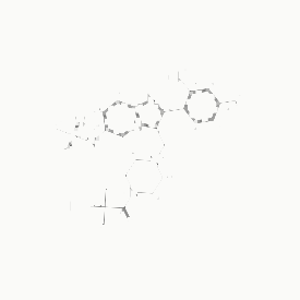 CC(C)(O)C(=O)N1CCN(Cc2c(-c3ccc(Cl)cc3Cl)nc3ccc(NS(C)(=O)=O)cn23)CC1